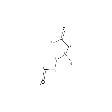 C=C(C)CC(C)CCC=O